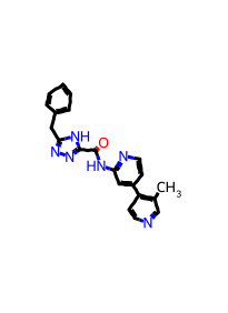 Cc1cnccc1-c1ccnc(NC(=O)c2nnc(Cc3ccccc3)[nH]2)c1